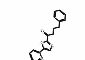 O=C(CCCc1ccccc1)c1ncc(-c2ccccn2)o1